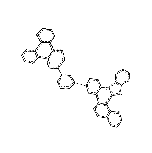 c1cc(-c2ccc3c4ccccc4c4ccccc4c3c2)cc(-c2ccc3c(c2)c2ccc4cccnc4c2c2nc4ccccc4n32)c1